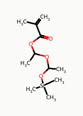 C=C(C)C(=O)OC(C)OC(C)O[Si](C)(C)C